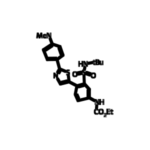 CCOC(=O)Nc1ccc(-c2cnc(-c3ccc(NC)cc3)s2)c(S(=O)(=O)NC(C)(C)C)c1